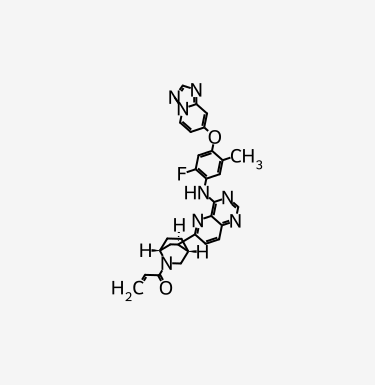 C=CC(=O)N1C[C@H]2CC[C@@H]1C[C@H]2c1ccc2ncnc(Nc3cc(C)c(Oc4ccn5ncnc5c4)cc3F)c2n1